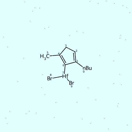 CCCCC1=CCC(C)=[C]1[Hf]([Br])[Br]